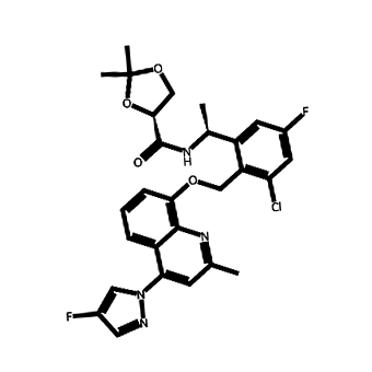 Cc1cc(-n2cc(F)cn2)c2cccc(OCc3c(Cl)cc(F)cc3[C@H](C)NC(=O)[C@@H]3COC(C)(C)O3)c2n1